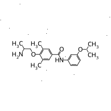 Cc1cc(C(=O)Nc2cccc(OC(C)C)c2)cc(C)c1OCC(C)N